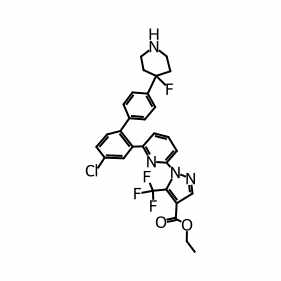 CCOC(=O)c1cnn(-c2cccc(-c3cc(Cl)ccc3-c3ccc(C4(F)CCNCC4)cc3)n2)c1C(F)(F)F